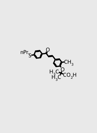 CCCSc1ccc(C(=O)/C=C/c2ccc(OC(C)(C)C(=O)O)c(C)c2)cc1